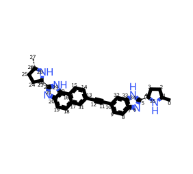 CC1CC[C@@H](c2nc3ccc(C#Cc4ccc5c(ccc6nc([C@@H]7CC[C@H](C)N7)[nH]c65)c4)cc3[nH]2)N1